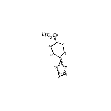 CCOC(=O)[C@H]1CC[C@@H](n2cccn2)CC1